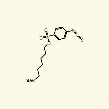 CCCCCCCCCCCCCCCCOS(=O)(=O)c1ccc(N=C=S)cc1